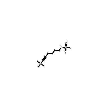 C[Si](C)(C)C#CCCCCOS(C)(=O)=O